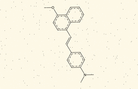 COc1ccc(/C=C/c2ccc(N(C)C)cc2)c2ccccc12